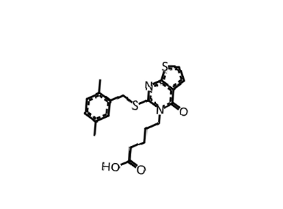 Cc1ccc(C)c(CSc2nc3sccc3c(=O)n2CCCCC(=O)O)c1